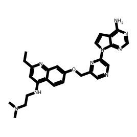 CCc1cc(NCCN(C)C)c2ccc(OCc3cncc(-n4ccc5c(N)ncnc54)n3)cc2n1